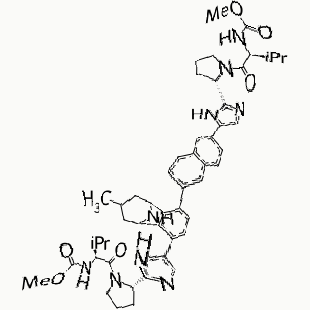 COC(=O)N[C@H](C(=O)N1CCC[C@H]1c1ncc(-c2ccc3cc(-c4ccc(-c5cnc([C@@H]6CCCN6C(=O)[C@@H](NC(=O)OC)C(C)C)[nH]5)c5c4C4CC(C)CC5N4)ccc3c2)[nH]1)C(C)C